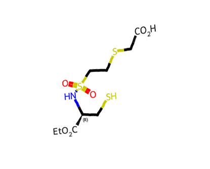 CCOC(=O)[C@H](CS)NS(=O)(=O)CCSCC(=O)O